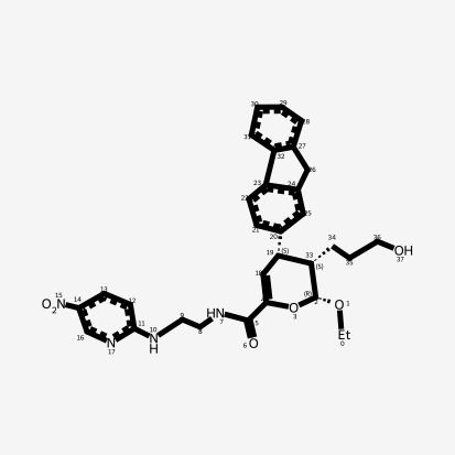 CCO[C@@H]1OC(C(=O)NCCNc2ccc([N+](=O)[O-])cn2)=C[C@H](c2ccc3c(c2)Cc2ccccc2-3)[C@@H]1CCCO